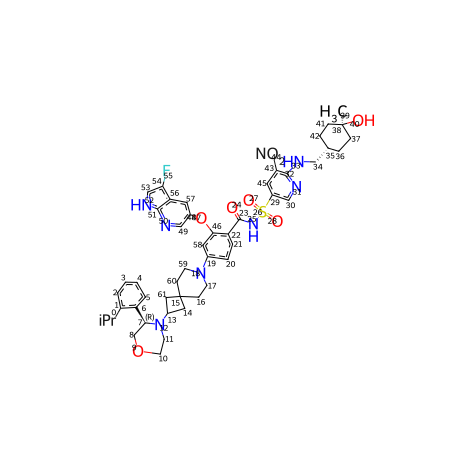 CC(C)c1ccccc1[C@@H]1COCCN1C1CC2(CCN(c3ccc(C(=O)NS(=O)(=O)c4cnc(NC[C@H]5CC[C@](C)(O)CC5)c([N+](=O)[O-])c4)c(Oc4cnc5[nH]cc(F)c5c4)c3)CC2)C1